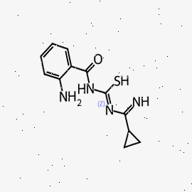 N=C(/N=C(\S)NC(=O)c1ccccc1N)C1CC1